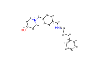 OC1CCN(CC2CCC(CNCCCc3ccccc3)CC2)CC1